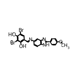 COc1ccc(-c2nc3cc(/N=C/c4cc(Br)c(O)c(Br)c4O)ccc3[nH]2)cc1